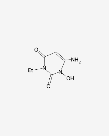 CCn1c(=O)cc(N)n(O)c1=O